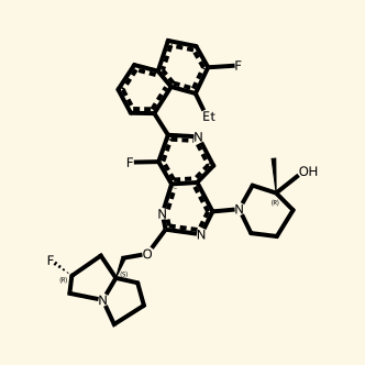 CCc1c(F)ccc2cccc(-c3ncc4c(N5CCC[C@@](C)(O)C5)nc(OC[C@@]56CCCN5C[C@H](F)C6)nc4c3F)c12